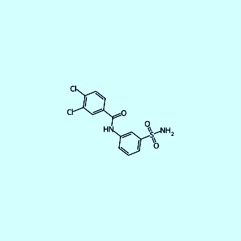 NS(=O)(=O)c1cccc(NC(=O)c2ccc(Cl)c(Cl)c2)c1